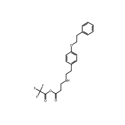 O=C(CCNCCc1ccc(OCCc2ccccc2)cc1)OC(=O)C(F)(F)F